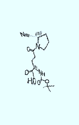 CC(C)(C)OC(=O)N[C@H](CCC(=O)N1CCC[C@H]1C#N)C(=O)O